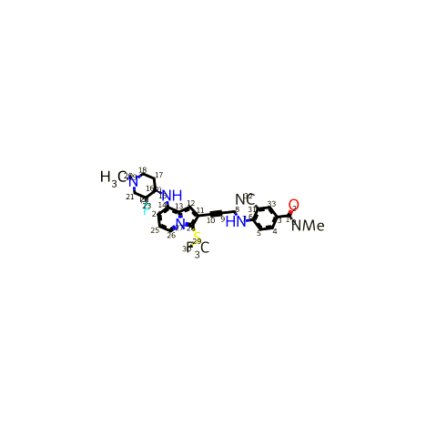 CNC(=O)c1ccc(NCC#Cc2cc3c(N[C@@H]4CCN(C)C[C@@H]4F)cccn3c2SC(F)(F)F)c(C#N)c1